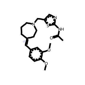 COc1ccc(/C=C2/CCCN(Cc3cnc(NC(C)=O)s3)CC2)cc1OC